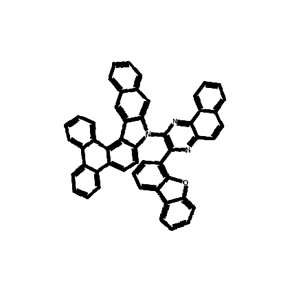 c1ccc2cc3c(cc2c1)c1c2c4ccccc4c4ccccc4c2ccc1n3-c1nc2c(ccc3ccccc32)nc1-c1cccc2c1oc1ccccc12